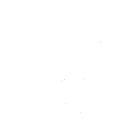 COc1c(CCNc2ncnc3[nH]cnc23)cc(Cl)c(C)c1CC1CNC(=O)C1